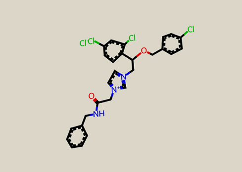 O=C(C[n+]1ccn(CC(OCc2ccc(Cl)cc2)c2ccc(Cl)cc2Cl)c1)NCc1ccccc1.[Cl-]